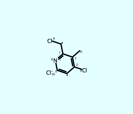 CC1=C(Cl)C=C[N+]=C1CCl.[Cl-]